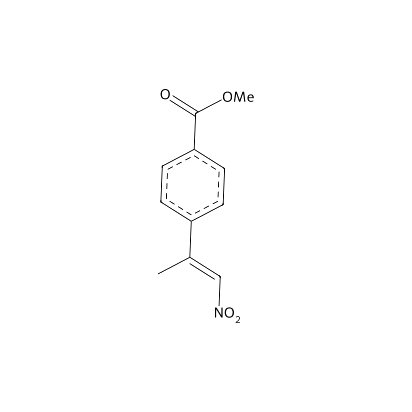 COC(=O)c1ccc(C(C)=C[N+](=O)[O-])cc1